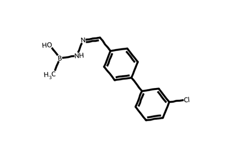 CB(O)N/N=C\c1ccc(-c2cccc(Cl)c2)cc1